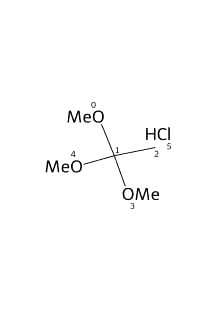 COC(C)(OC)OC.Cl